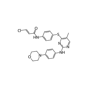 Cc1cnc(Nc2ccc(N3CCOCC3)cc2)nc1Sc1ccc(NC(=O)C=CCl)cc1